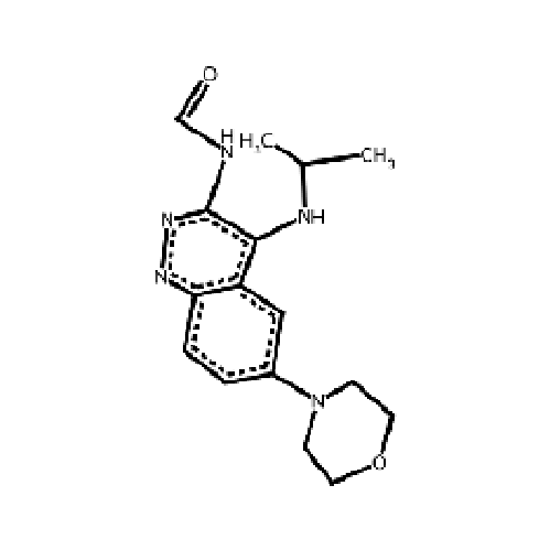 CC(C)Nc1c(NC=O)nnc2ccc(N3CCOCC3)cc12